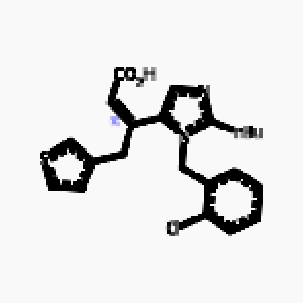 CCCCc1ncc(/C(=C\C(=O)O)Cc2ccsc2)n1Cc1ccccc1Cl